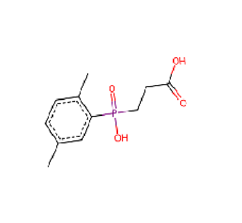 Cc1ccc(C)c(P(=O)(O)CCC(=O)O)c1